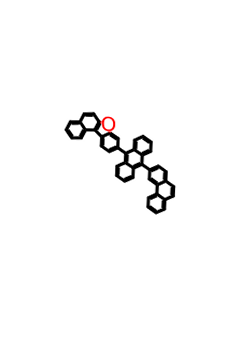 c1ccc2c(c1)ccc1ccc(-c3c4ccccc4c(-c4ccc5c(c4)oc4ccc6ccccc6c45)c4ccccc34)cc12